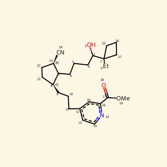 CCC1(C(O)CCCC2[C@@H](CCCc3ccnc(C(=O)OC)c3)CC[C@H]2C#N)CCC1